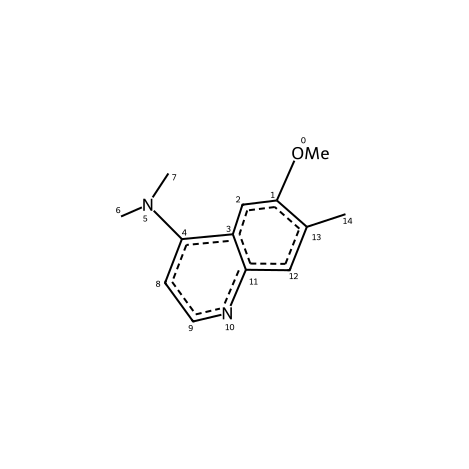 COc1cc2c(N(C)C)ccnc2cc1C